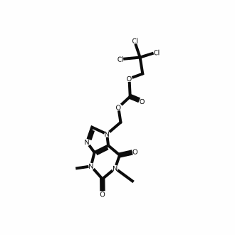 Cn1c(=O)c2c(ncn2COC(=O)OCC(Cl)(Cl)Cl)n(C)c1=O